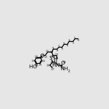 CCCCCCCCCCC(CCOc1ccc(O)cc1)C(CC)SC(CC)NNC(N)=O